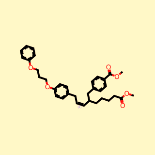 COC(=O)CCCCC(/C=C\Cc1ccc(OCCCOc2ccccc2)cc1)Cc1ccc(C(=O)OC)cc1